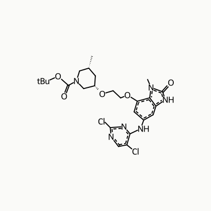 C[C@@H]1C[C@H](OCCOc2cc(Nc3nc(Cl)ncc3Cl)cc3[nH]c(=O)n(C)c23)CN(C(=O)OC(C)(C)C)C1